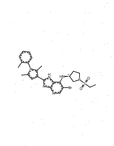 CCS(=O)(=O)N1CC[C@H](Nc2c(Br)cnc3nc(-c4cc(C)n(-c5c[c]ccc5C)c4C)[nH]c23)C1